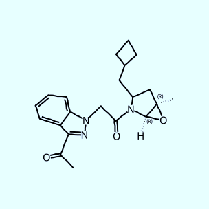 CC(=O)c1nn(CC(=O)N2C(CC3CCC3)C[C@@]3(C)O[C@@H]23)c2ccccc12